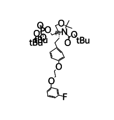 CC(C)(C)OC(=O)N1C(C)(C)OC[C@]1(CCc1ccc(OCCOc2cccc(F)c2)cc1)COP(=O)(OC(C)(C)C)OC(C)(C)C